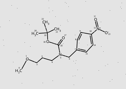 COCCCN(Cc1ccc([N+](=O)[O-])cc1)C(=O)OC(C)(C)C